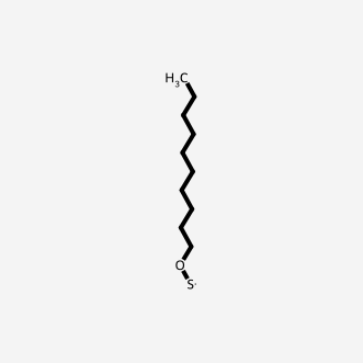 CCCCCCCCCCO[S]